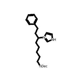 CCCCCCCCCCCCCCCC(CCc1ccccc1)[n+]1cc[nH]c1